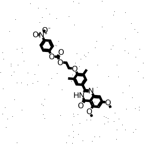 COc1cc(OC)c2c(=O)[nH]c(-c3cc(C)c(OCCOC(=O)Oc4ccc([N+](=O)[O-])cc4)c(C)c3)nc2c1